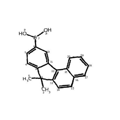 CC1(C)c2ccc(B(O)O)cc2-c2c1ccc1ccccc21